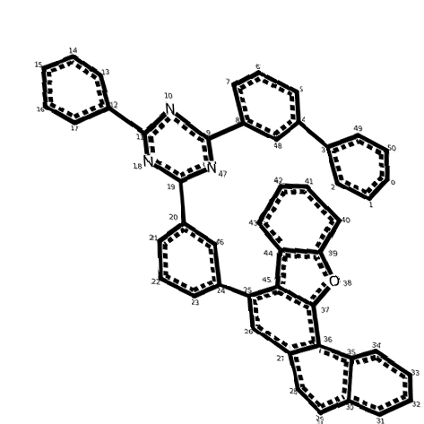 c1ccc(-c2cccc(-c3nc(-c4ccccc4)nc(-c4cccc(-c5cc6ccc7ccccc7c6c6oc7ccccc7c56)c4)n3)c2)cc1